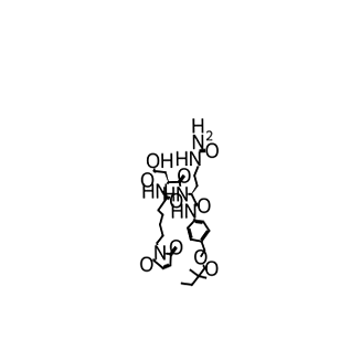 CCC(C)(C)C(=O)OCc1ccc(NC(=O)[C@H](CCCNC(N)=O)NC(=O)[C@H](CC(=O)O)NC(=O)CCCCCN2C(=O)C=CC2=O)cc1